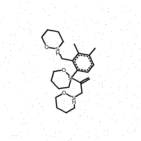 C=C(C[SiH]1CCCCO1)[Si]1(c2ccc(C)c(C)c2C[SiH]2CCCCO2)CCCCO1